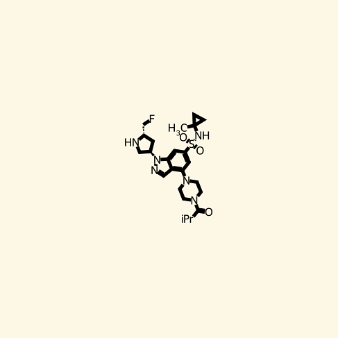 CC(C)C(=O)N1CCN(c2cc(S(=O)(=O)NC3(C)CC3)cc3c2cnn3[C@H]2CN[C@H](CF)C2)CC1